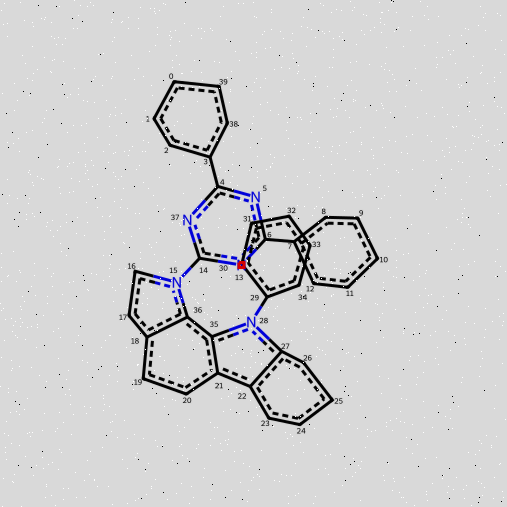 c1ccc(-c2nc(-c3ccccc3)nc(-n3ccc4ccc5c6ccccc6n(-c6ccccc6)c5c43)n2)cc1